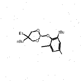 CCCCC1(CC)COP(Oc2c(C)cc(C)cc2C(C)(C)C)OC1